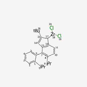 CC(C)c1ccccc1-c1c(C(C)C)ccc2c1C=C(C(C)(C)C)[CH]2[Zr]([Cl])[Cl]